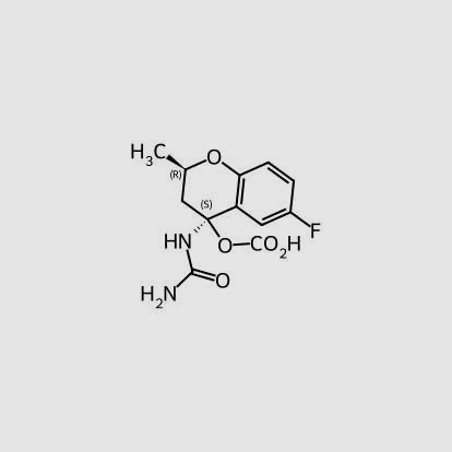 C[C@@H]1C[C@](NC(N)=O)(OC(=O)O)c2cc(F)ccc2O1